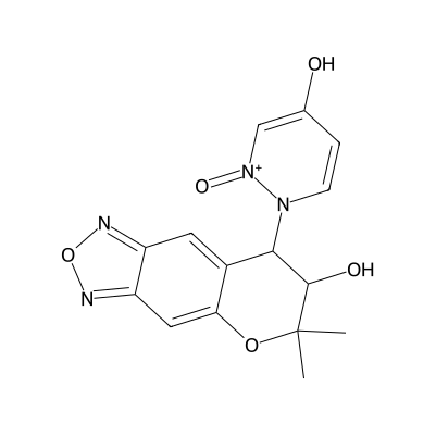 CC1(C)Oc2cc3nonc3cc2C(n2ccc(O)c[n+]2=O)C1O